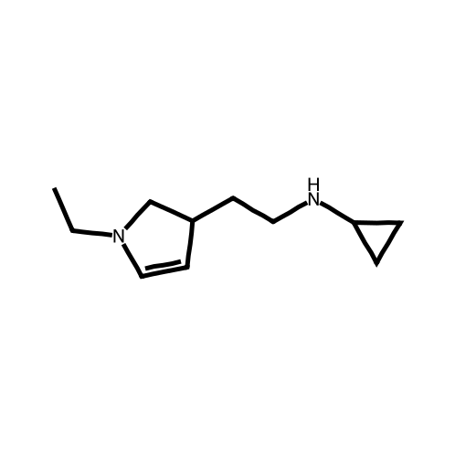 CCN1C=CC(CCNC2CC2)C1